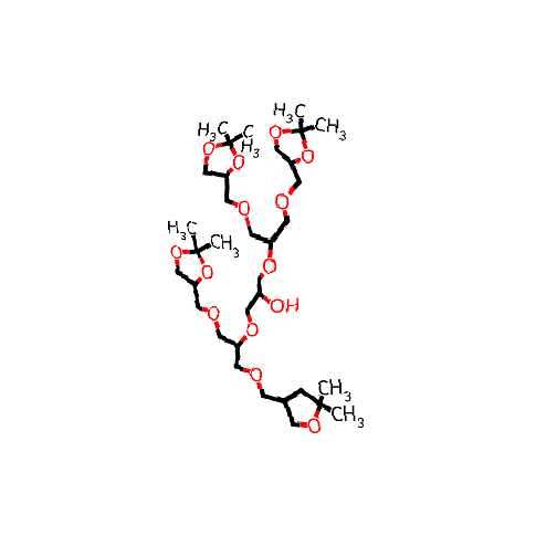 CC1(C)CC(COCC(COCC2COC(C)(C)O2)OCC(O)COC(COCC2COC(C)(C)O2)COCC2COC(C)(C)O2)CO1